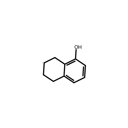 Oc1cccc2c1C[CH]CC2